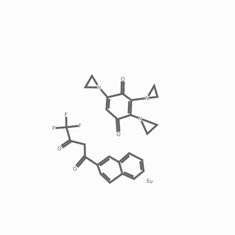 O=C(CC(=O)C(F)(F)F)c1ccc2ccccc2c1.O=C1C=C(N2CC2)C(=O)C(N2CC2)=C1N1CC1.[Eu]